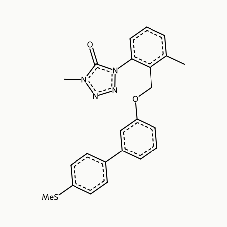 CSc1ccc(-c2cccc(OCc3c(C)cccc3-n3nnn(C)c3=O)c2)cc1